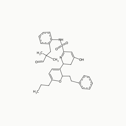 CCCC1=CC=C(C2CC(O)=CC(S(=O)(=O)Nc3ccccc3CC(C)(C)C=O)=N2)C(CCc2ccccc2)O1